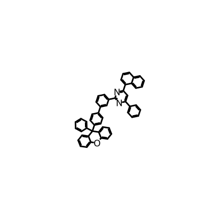 c1ccc(-c2cc(-c3cccc4ccccc34)nc(-c3cccc(-c4ccc(C5(c6ccccc6)c6ccccc6Oc6ccccc65)cc4)c3)n2)cc1